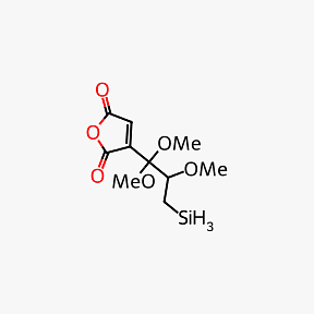 COC(C[SiH3])C(OC)(OC)C1=CC(=O)OC1=O